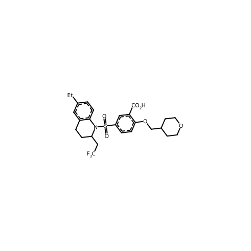 CCc1ccc2c(c1)CCC(CC(F)(F)F)N2S(=O)(=O)c1ccc(OCC2CCOCC2)c(C(=O)O)c1